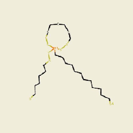 [S]CCCCCCSS[PH]1(CCCCCCCCCCCCS)SSCCCCCCSS1